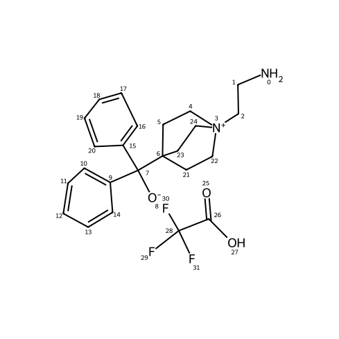 NCC[N+]12CCC(C([O-])(c3ccccc3)c3ccccc3)(CC1)CC2.O=C(O)C(F)(F)F